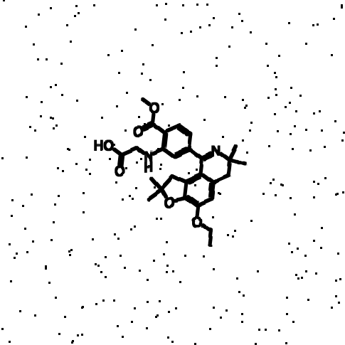 CCOc1cc2c(c3c1OC(C)(C)C3)C(c1ccc(C(=O)OC)c(NCC(=O)O)c1)=NC(C)(C)C2